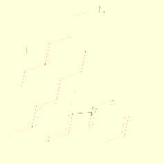 N#CC[C@@H]1CC[C@@]2(S(=O)(=O)c3ccc(C(F)(F)F)cc3)c3c(F)ccc(F)c3OC[C@H]2C1